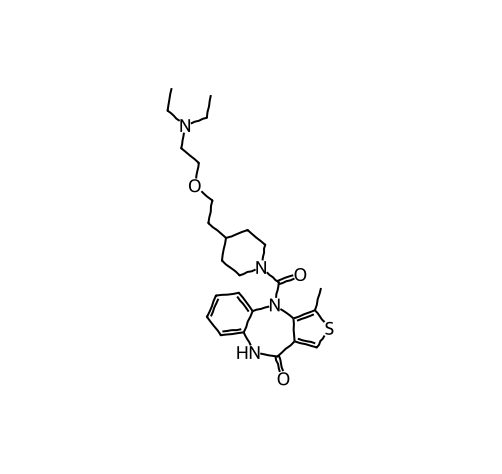 CCN(CC)CCOCCC1CCN(C(=O)N2c3ccccc3NC(=O)c3csc(C)c32)CC1